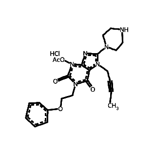 CC#CCn1c(N2CCNCC2)nc2c1c(=O)n(CCOc1ccccc1)c(=O)n2OC(C)=O.Cl